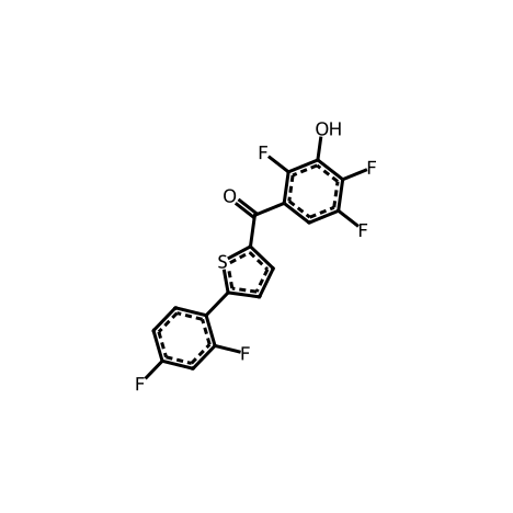 O=C(c1ccc(-c2ccc(F)cc2F)s1)c1cc(F)c(F)c(O)c1F